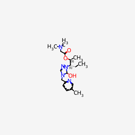 CC[C@@H]([C@H](C)OC(=O)CN(C)C)N1N=CN(Cc2ccc(C)cn2)C1O